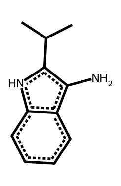 CC(C)c1[nH]c2ccccc2c1N